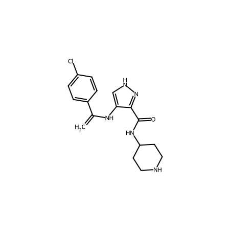 C=C(Nc1c[nH]nc1C(=O)NC1CCNCC1)c1ccc(Cl)cc1